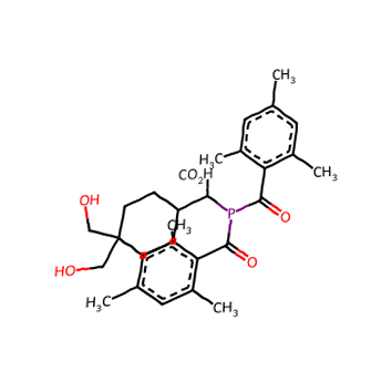 Cc1cc(C)c(C(=O)P(C(=O)c2c(C)cc(C)cc2C)C(C(=O)O)C2CCC(CO)(CO)CC2)c(C)c1